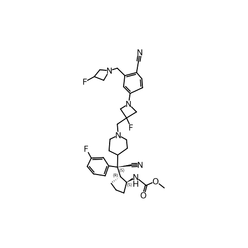 COC(=O)N[C@H]1CCC[C@@H]1[C@](C#N)(c1cccc(F)c1)C1CCN(CC2(F)CN(c3ccc(C#N)c(CN4CC(F)C4)c3)C2)CC1